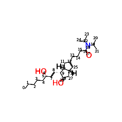 CCCCC[C@H](O)/C=C/[C@@H]1[C@H]2CC(CCCC(=O)N(C(C)C)C(C)C)=C[C@H]2C[C@H]1O